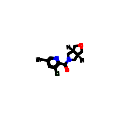 CC(C)c1cnc(C(=O)N2C[C@H]3COC[C@H]3C2)c(Cl)c1